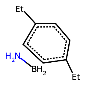 BN.CCc1ccc(CC)cc1